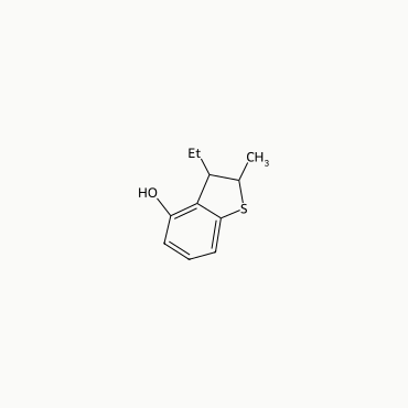 CCC1c2c(O)cccc2SC1C